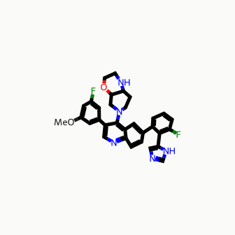 COc1cc(F)cc(-c2cnc3ccc(-c4cccc(F)c4-c4cnc[nH]4)cc3c2N2CCC3NCCOC3C2)c1